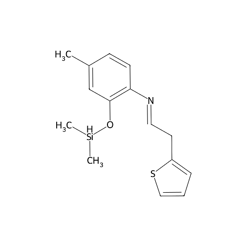 Cc1ccc(N=CCc2cccs2)c(O[SiH](C)C)c1